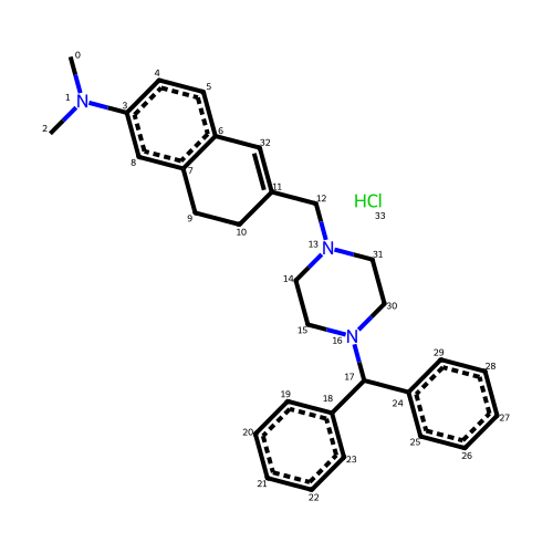 CN(C)c1ccc2c(c1)CCC(CN1CCN(C(c3ccccc3)c3ccccc3)CC1)=C2.Cl